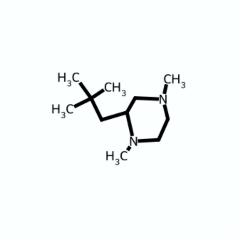 CN1CCN(C)C(CC(C)(C)C)C1